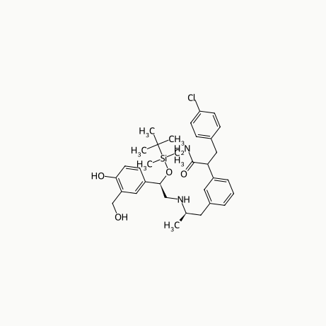 C[C@H](Cc1cccc(C(Cc2ccc(Cl)cc2)C(N)=O)c1)NC[C@H](O[Si](C)(C)C(C)(C)C)c1ccc(O)c(CO)c1